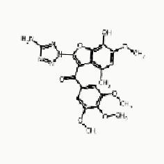 COc1cc(C(=O)c2c(-n3nnc(N)n3)oc3c(O)c(OC)cc(C)c23)cc(OC)c1OC